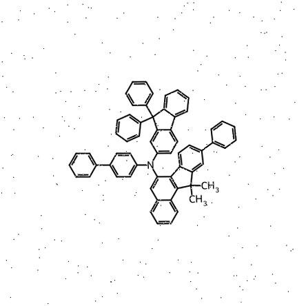 CC1(C)c2cc(-c3ccccc3)ccc2-c2c(N(c3ccc(-c4ccccc4)cc3)c3ccc4c(c3)C(c3ccccc3)(c3ccccc3)c3ccccc3-4)cc3ccccc3c21